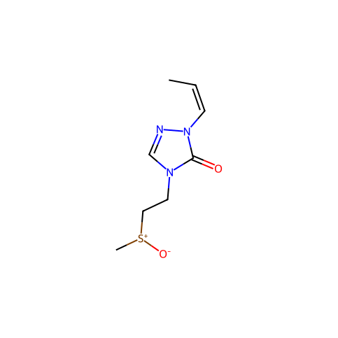 C/C=C\n1ncn(CC[S+](C)[O-])c1=O